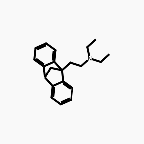 CCN(CC)CCC12CC(c3ccccc31)c1ccccc12